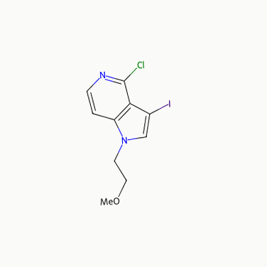 COCCn1cc(I)c2c(Cl)nccc21